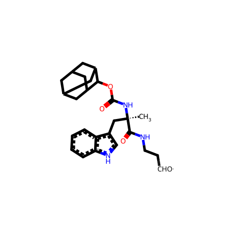 C[C@](Cc1c[nH]c2ccccc12)(NC(=O)OC1C2CC3CC(C2)CC1C3)C(=O)NCC[C]=O